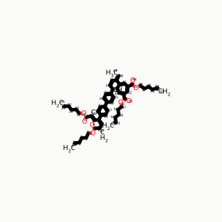 C=CCCCCOC(=O)C(=C)/C=C(\C=C(/C)C(=O)OCCCCC=C)c1ccc(-c2ccc(C(=C)/C=C\C(=C/C)C3=CC(C(=O)OCCCCC=C)=CC(C(=O)OCCCCC=C)=CC3)cc2)cc1